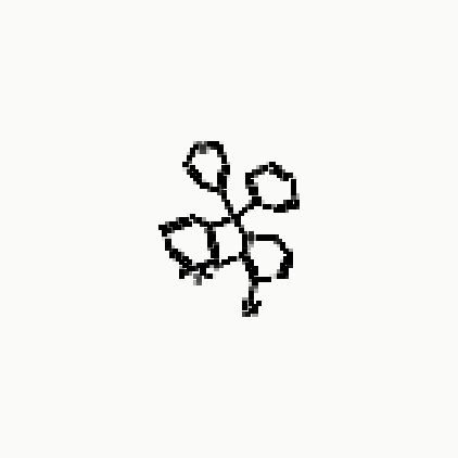 CC1=C(Br)C=CCN1C(c1ccccc1)(c1ccccc1)c1ccccc1